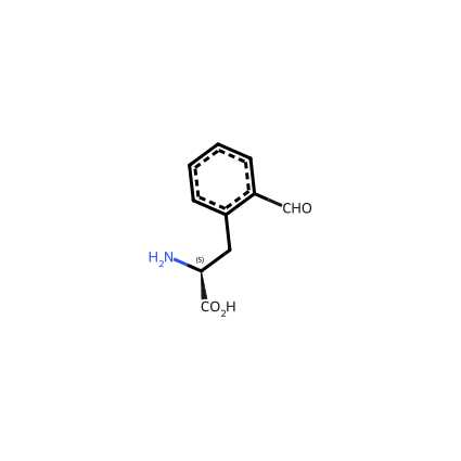 N[C@@H](Cc1ccccc1C=O)C(=O)O